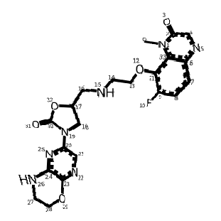 Cn1c(=O)cnc2ccc(F)c(OCCNCC3CN(c4cnc5c(n4)NCCO5)C(=O)O3)c21